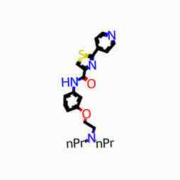 CCCN(CCC)CCOc1cccc(NC(=O)c2csc(-c3ccncc3)n2)c1